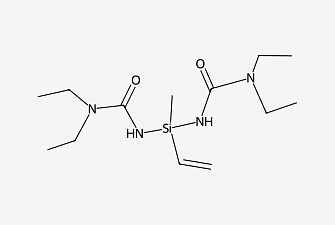 C=C[Si](C)(NC(=O)N(CC)CC)NC(=O)N(CC)CC